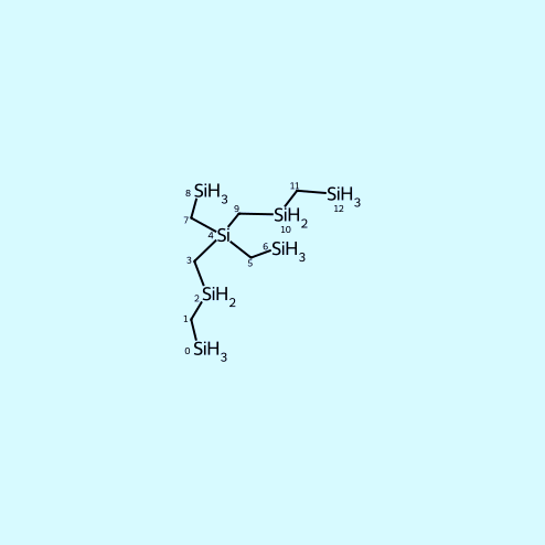 [SiH3]C[SiH2]C[Si](C[SiH3])(C[SiH3])C[SiH2]C[SiH3]